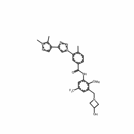 COc1c(CN2CC(O)C2)cc(C(F)(F)F)cc1NC(=O)c1ccc(C)c(-n2cc(-c3cnn(C)c3C)nn2)c1